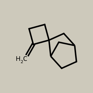 C=C1CCC12CC1CCC2C1